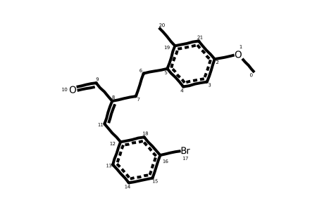 COc1ccc(CC/C(C=O)=C\c2cccc(Br)c2)c(C)c1